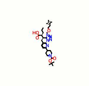 CCC[C@H](C(=O)O)[C@H](Cc1ccc(C2CCN(C(=O)OC(C)(C)C)CC2)nc1)c1nnnn1COCC[Si](C)(C)C